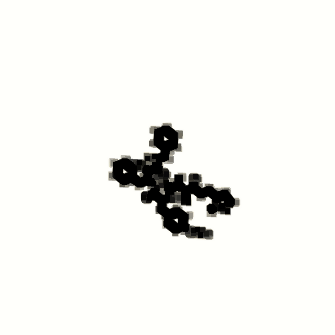 COc1ccc(CC(NC(=O)C(C)NC(=O)CCc2ccnn2C)C(=O)NC(Cc2ccccc2)C(O)C(=O)NCc2ccccc2)cc1